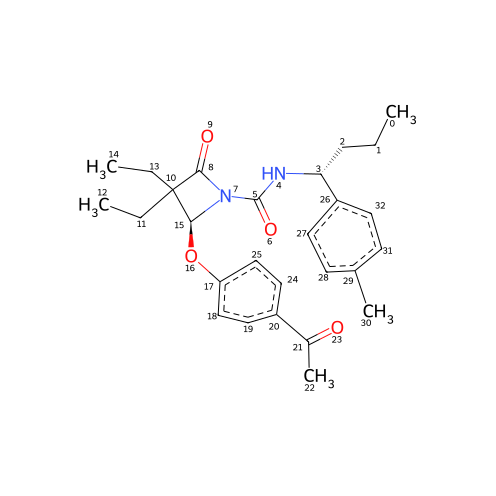 CCC[C@@H](NC(=O)N1C(=O)C(CC)(CC)[C@@H]1Oc1ccc(C(C)=O)cc1)c1ccc(C)cc1